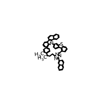 Cc1ccccc1C(C)CCC1N=C(c2ccc3ccccc3c2)N2C(c3cccc4sc5cc(-n6c7ccccc7c7ccc8ccccc8c76)ccc5c34)N12